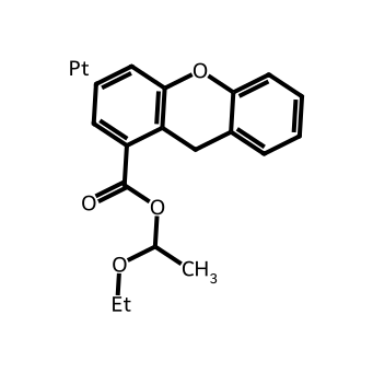 CCOC(C)OC(=O)c1cccc2c1Cc1ccccc1O2.[Pt]